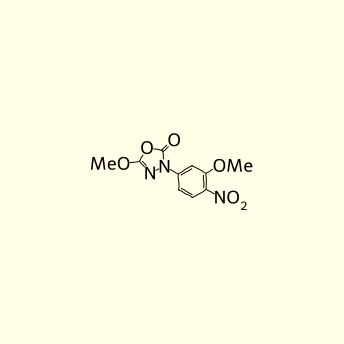 COc1nn(-c2ccc([N+](=O)[O-])c(OC)c2)c(=O)o1